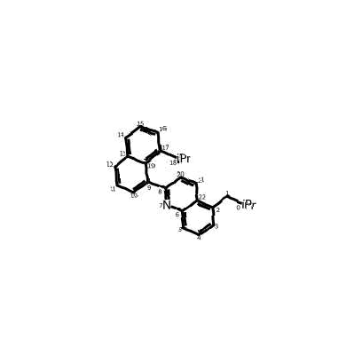 CC(C)Cc1cccc2nc(-c3cccc4cccc(C(C)C)c34)ccc12